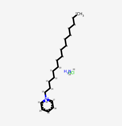 CCCCCCCCCCCCCCCC[n+]1ccccc1.Cl.N